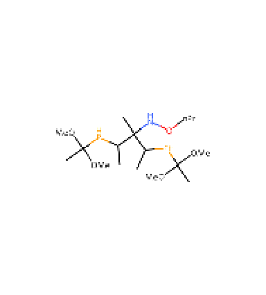 CCCONC(C)(C(C)PC(C)(OC)OC)C(C)PC(C)(OC)OC